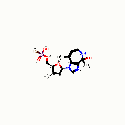 CC1=C=CNC(C)(O)c2ncn([C@H]3C[C@H](C)[C@@H](COP(=O)(O)S)O3)c21